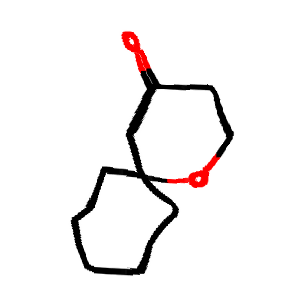 O=C1CCOC2(CCCCC2)C1